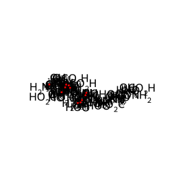 NC(=O)C[C@H](NC(=O)[C@H](CO)NC(=O)[C@H](CC(=O)O)NC(=O)[C@H](CO)NC(=O)CNC(=O)[C@H](CO)NC(=O)CNC(=O)[C@H](CC(=O)O)NC(=O)[C@H](CC(N)=O)NC(=O)[C@H](CO)NC(=O)[C@H](CC(=O)O)NC(=O)[C@H](CO)NC(=O)CNC(=O)[C@H](CO)NC(=O)CNC(=O)[C@H](CC(=O)O)NC(=O)[C@H](CC(N)=O)NC(=O)[C@H](CO)NC(=O)[C@H](CC(=O)O)NC(=O)[C@H](CO)NC(=O)[C@@H](N)CC(=O)O)C(=O)O